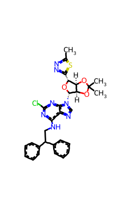 Cc1nnc([C@H]2O[C@@H](n3cnc4c(NCC(c5ccccc5)c5ccccc5)nc(Cl)nc43)[C@@H]3OC(C)(C)O[C@@H]32)s1